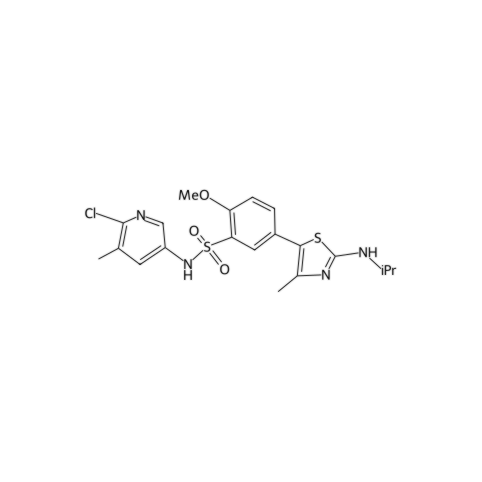 COc1ccc(-c2sc(NC(C)C)nc2C)cc1S(=O)(=O)Nc1cnc(Cl)c(C)c1